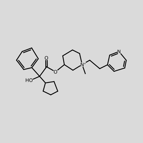 C[N+]1(CCc2cccnc2)CCCC(OC(=O)C(O)(c2ccccc2)C2CCCC2)C1